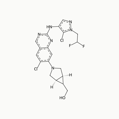 OCC1[C@H]2CN(c3cc4nc(Nc5cnn(CC(F)F)c5Cl)ncc4cc3Cl)C[C@@H]12